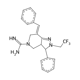 N=C(N)N1CC(=Cc2ccccc2)C2=NN(CC(F)(F)F)C(c3ccccc3)C2C1